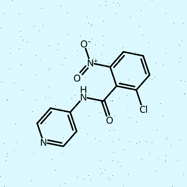 O=C(Nc1ccncc1)c1c(Cl)cccc1[N+](=O)[O-]